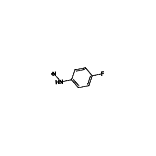 [N]Nc1ccc(F)cc1